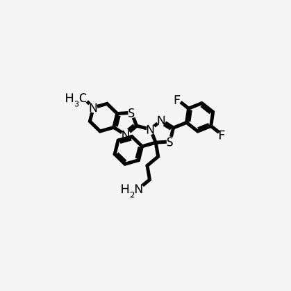 CN1CCc2nc(N3N=C(c4cc(F)ccc4F)SC3(CCCN)c3ccccc3)sc2C1